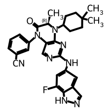 C[C@@H]1C(=O)N(c2cccc(C#N)c2)c2cnc(Nc3cc(F)c4[nH]ncc4c3)nc2N1C1CCC(C)(C)CC1